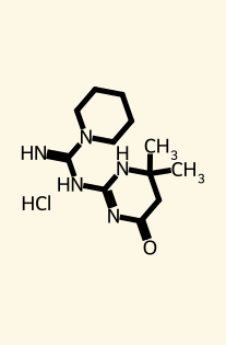 CC1(C)CC(=O)N=C(NC(=N)N2CCCCC2)N1.Cl